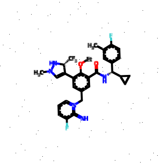 CCOc1c(C(=O)N[C@H](c2ccc(F)c(C)c2)C2CC2)cc(Cn2cccc(F)c2=N)cc1C1=CN(C)N[C@@H]1C(F)(F)F